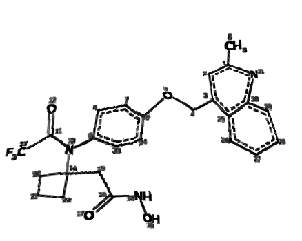 Cc1cc(COc2ccc(N(C(=O)C(F)(F)F)C3(CC(=O)NO)CCC3)cc2)c2ccccc2n1